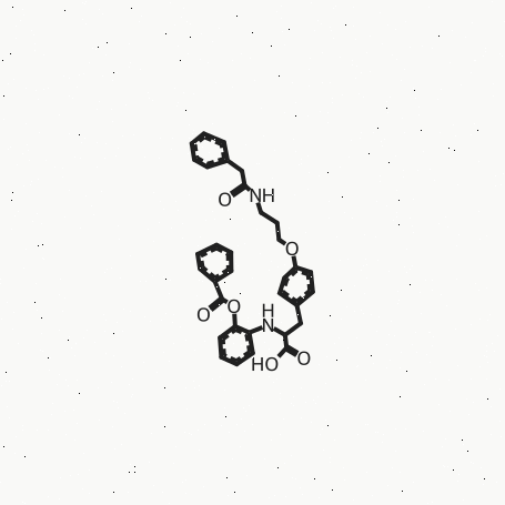 O=C(Cc1ccccc1)NCCCOc1ccc(CC(Nc2ccccc2OC(=O)c2ccccc2)C(=O)O)cc1